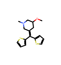 COC1CC(=C(c2cccs2)c2cccs2)CN(C)C1